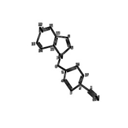 N#Cc1ccc(Cn2ccc3cnccc32)cc1